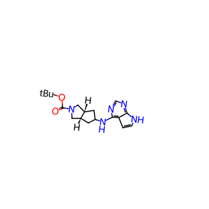 CC(C)(C)OC(=O)N1C[C@H]2CC(Nc3ncnc4[nH]ccc34)C[C@H]2C1